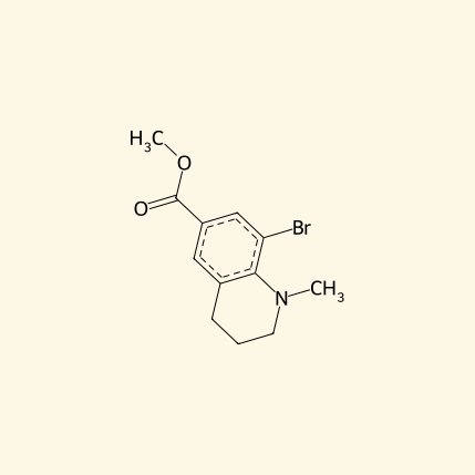 COC(=O)c1cc(Br)c2c(c1)CCCN2C